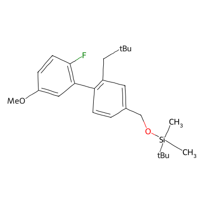 COc1ccc(F)c(-c2ccc(CO[Si](C)(C)C(C)(C)C)cc2CC(C)(C)C)c1